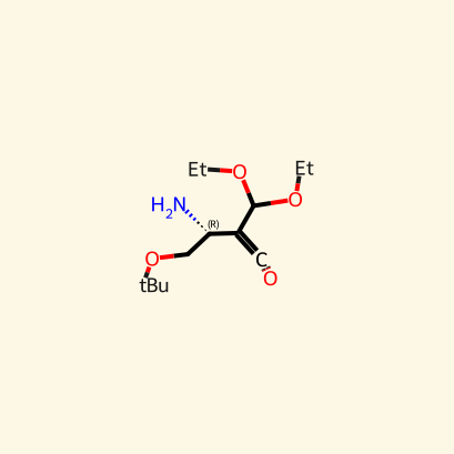 CCOC(OCC)C(=C=O)[C@@H](N)COC(C)(C)C